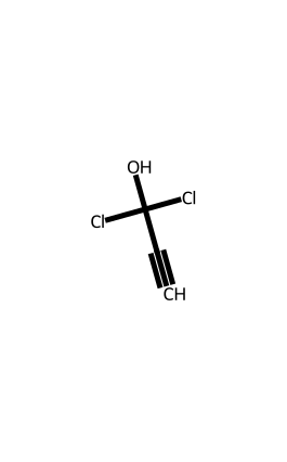 C#CC(O)(Cl)Cl